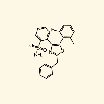 Cc1cccc(F)c1-c1oc(Cc2ccccc2)nc1-c1ccccc1S(N)(=O)=O